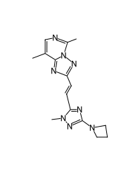 Cc1cnc(C)n2nc(C=Cc3nc(N4CCC4)nn3C)nc12